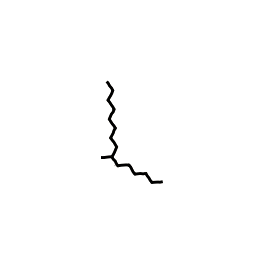 CCCCC[CH]C(C)CCCCCCCC